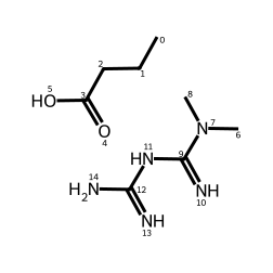 CCCC(=O)O.CN(C)C(=N)NC(=N)N